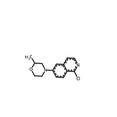 CC1CN(c2ccc3c(Cl)nccc3c2)CCO1